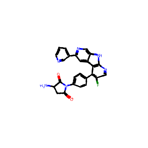 NC1CC(=O)N(c2ccc(-c3c(F)cnc4[nH]c5cnc(-c6cccnc6)cc5c34)cc2)C1=O